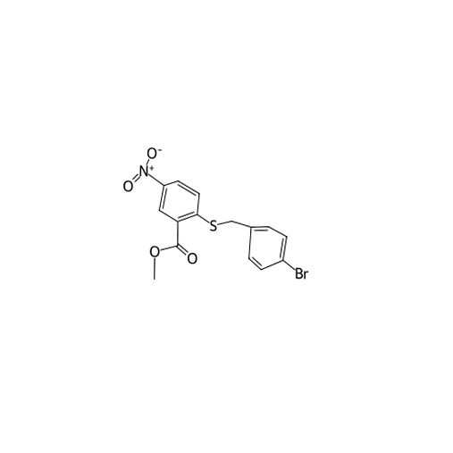 COC(=O)c1cc([N+](=O)[O-])ccc1SCc1ccc(Br)cc1